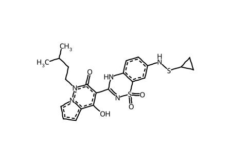 CC(C)CCn1c(=O)c(C2=NS(=O)(=O)c3cc(NSC4CC4)ccc3N2)c(O)c2cccn21